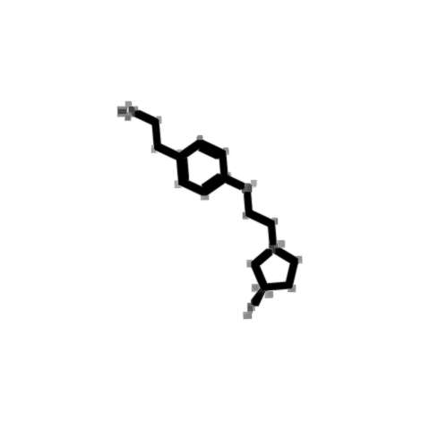 NCCc1ccc(OCCN2CC[C@@H](F)C2)cc1